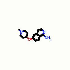 CN1CCC(Oc2ccc3c(N)nccc3c2)CC1